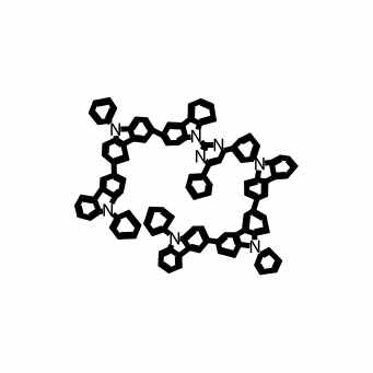 c1ccc(-c2cc(-c3cccc(-n4c5ccccc5c5cc(-c6ccc7c(c6)c6cc(-c8ccc9c(c8)c8ccccc8n9-c8ccccc8)ccc6n7-c6ccccc6)ccc54)c3)nc(-n3c4ccccc4c4cc(-c5ccc6c(c5)c5cc(-c7ccc8c(c7)c7ccccc7n8-c7ccccc7)ccc5n6-c5ccccc5)ccc43)n2)cc1